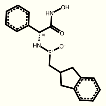 O=C(NO)[C@H](N[S+]([O-])CC1Cc2ccccc2C1)c1ccccc1